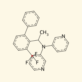 CC(c1c(-c2ccccc2)cccc1C(F)(F)F)N(c1cccnc1)c1cccnc1